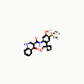 CS(C)(C)c1cc(C2(CO)CCC2)c(NC(=O)c2c[nH]c3ccccc3c2=O)cc1O